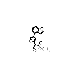 COC(=O)C(C=O)c1cc(-c2cccc3occc23)co1